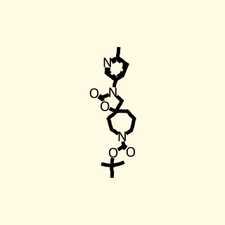 Cc1ccc(N2CC3(CCCN(C(=O)OC(C)(C)C)CC3)OC2=O)cn1